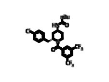 CCCCC(=O)N[C@H]1CCN(C(=O)c2cc(C(F)(F)F)cc(C(F)(F)F)c2)[C@H](Cc2ccc(Cl)cc2)C1